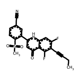 CCC#Cc1c(F)cc2[nH]c(-c3cc(C#N)ccc3S(C)(=O)=O)cc(=O)c2c1F